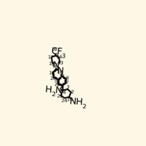 NC1CCC(N)(c2ccc3nc(N4CCC(C(F)(F)F)CC4)ccc3c2)CC1